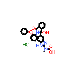 CN(C(=O)O)c1nc2cc(C3(O)c4ccccc4C(=O)N3c3ccccc3Oc3ccccc3)ccc2[nH]1.Cl